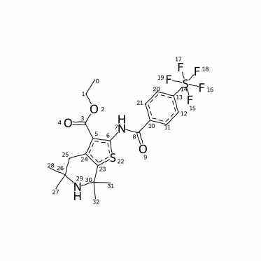 CCOC(=O)c1c(NC(=O)c2ccc(S(F)(F)(F)(F)F)cc2)sc2c1CC(C)(C)NC2(C)C